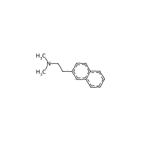 CN(C)CCc1[c]c2ccccc2cc1